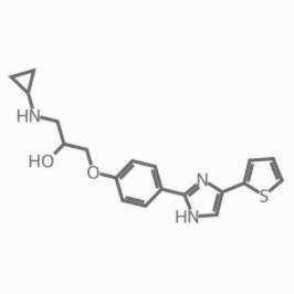 OC(CNC1CC1)COc1ccc(-c2nc(-c3cccs3)c[nH]2)cc1